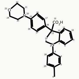 Cc1ccc(N(C)c2ccccc2C(C)(C(=O)O)c2ccc(N3CCOCC3)cc2)cc1